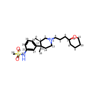 C[C@H]1CN(CCCC2CCCCO2)CC[C@]1(C)c1cccc(NS(C)(=O)=O)c1